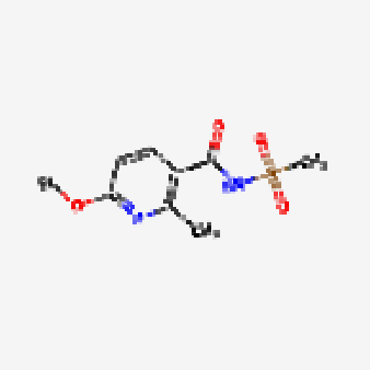 CCOc1ccc(C(=O)NS(C)(=O)=O)c(C)n1